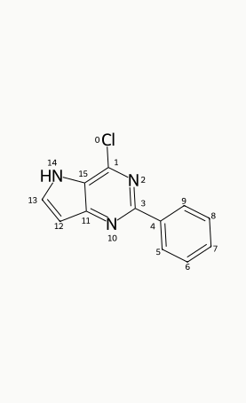 Clc1nc(-c2ccccc2)nc2cc[nH]c12